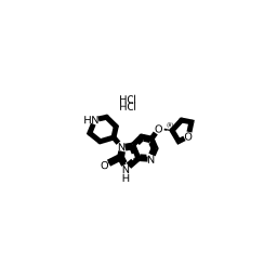 Cl.Cl.O=c1[nH]c2ncc(O[C@@H]3CCOC3)cc2n1C1CCNCC1